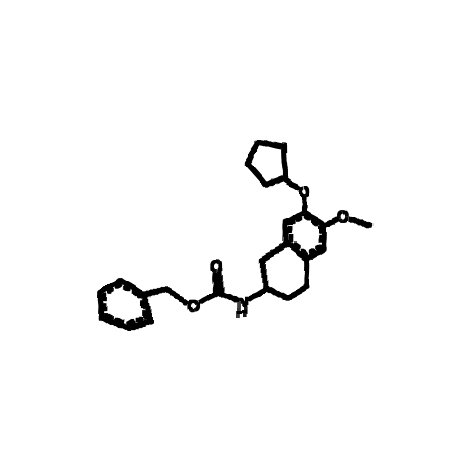 COc1cc2c(cc1OC1CCCC1)CC(NC(=O)OCc1ccccc1)CC2